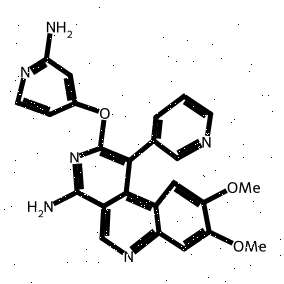 COc1cc2ncc3c(N)nc(Oc4ccnc(N)c4)c(-c4cccnc4)c3c2cc1OC